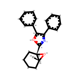 c1ccc(-c2nc([C@]34CCCC[C@H]3O4)oc2-c2ccccc2)cc1